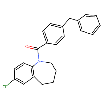 O=C(c1ccc(Cc2ccccc2)cc1)N1CCCCc2cc(Cl)ccc21